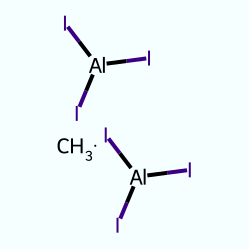 [CH3].[I][Al]([I])[I].[I][Al]([I])[I]